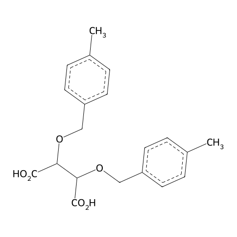 Cc1ccc(COC(C(=O)O)C(OCc2ccc(C)cc2)C(=O)O)cc1